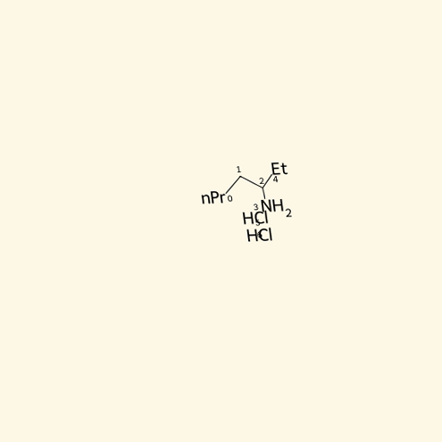 CCCCC(N)CC.Cl.Cl